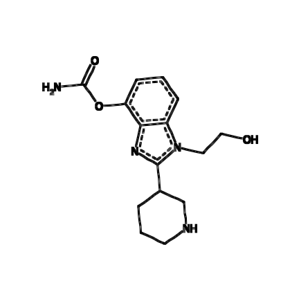 NC(=O)Oc1cccc2c1nc(C1CCCNC1)n2CCO